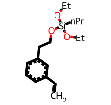 C=Cc1cccc(CCO[Si](CCC)(OCC)OCC)c1